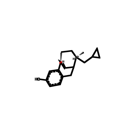 C[N@@+]1(CC2CC2)CC[C@@]23CCCCC2C1Cc1ccc(O)cc13